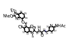 CCn1c(OC)nc2c(OCc3c(Cl)ccc(N(C)C(=O)CNC(=O)/C=C/c4ccc(NC(C)=O)nc4)c3Cl)cccc21